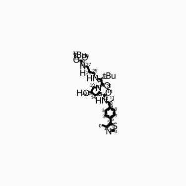 Cc1ncsc1-c1ccc([C@H](C)NC(=O)[C@@H]2C[C@@H](O)CN2C(=O)[C@@H](NCCCNC(=O)OC(C)(C)C)C(C)(C)C)cc1